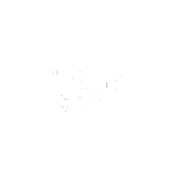 Cc1ccc(CC2=C(c3ccc4c(c3)OCO4)C(=O)OC2(O)c2ccc3nsnc3c2)cc1